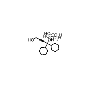 O=C(O)O.O=C(O)O.OCC#CC(O)(C1CCCCC1)C1CCCCC1